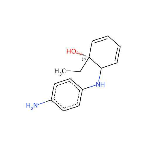 CC[C@@]1(O)C=CC=CC1Nc1ccc(N)cc1